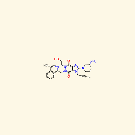 CC#CCn1c(N2CCCC(N)C2)nc2c(=O)n(CCO)n(Cc3ncc(C#N)c4ccccc34)c(=O)c21